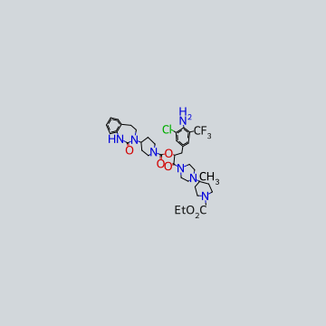 CCOC(=O)CN1CCC(C)(N2CCN(C(=O)C(Cc3cc(Cl)c(N)c(C(F)(F)F)c3)OC(=O)N3CCC(N4CCc5ccccc5NC4=O)CC3)CC2)CC1